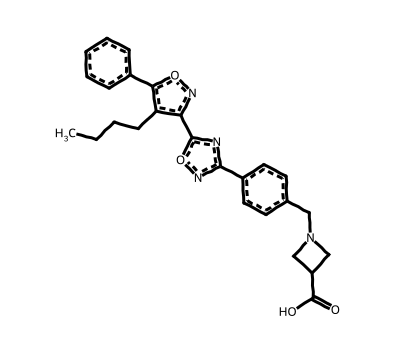 CCCCc1c(-c2nc(-c3ccc(CN4CC(C(=O)O)C4)cc3)no2)noc1-c1ccccc1